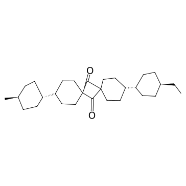 CC[C@H]1CC[C@H](C2CCC3(CC2)C(=O)C2(CCC([C@H]4CC[C@H](C)CC4)CC2)C3=O)CC1